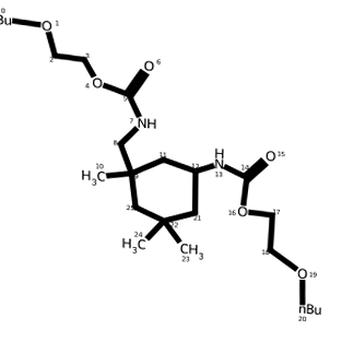 CCCCOCCOC(=O)NCC1(C)CC(NC(=O)OCCOCCCC)CC(C)(C)C1